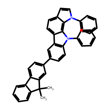 CC1(C)c2ccccc2-c2ccc(-c3ccc4c(c3)c3ccc5ccn(-c6ccccc6)c5c3n4-c3ccccc3)cc21